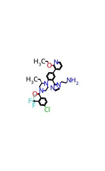 CCOc1ncccc1-c1ccc(N2CCN(C(=O)c3ccc(Cl)cc3C(F)(F)F)C[C@H]2CC)c(-c2nccn2CCN)c1